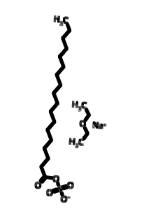 CCCCCCCCCCCCCCCCCC(=O)OS(=O)(=O)[O-].CCOCC.[Na+]